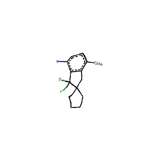 COc1ccc(I)c2c1CC1(CCCC1)C2(F)F